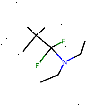 CCN(CC)C(F)(F)C(C)(C)C